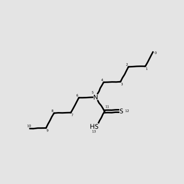 CCCCCN(CCCCC)C(=S)S